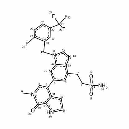 Cn1cc(-c2cc(CCS(N)(=O)=O)c3ncn(Cc4cc(C(F)(F)F)ccc4F)c3n2)c2cc[nH]c2c1=O